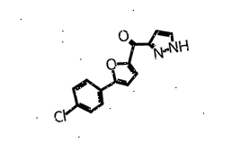 O=C(c1cc[nH]n1)c1ccc(-c2ccc(Cl)cc2)o1